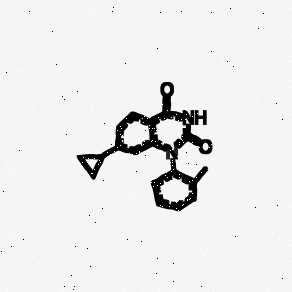 Cc1ccccc1-n1c(=O)[nH]c(=O)c2ccc(C3CC3)cc21